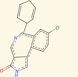 O=c1[nH]cc2c3ccc(Cl)cc3c(C3C=CCC=C3)ncc1-2